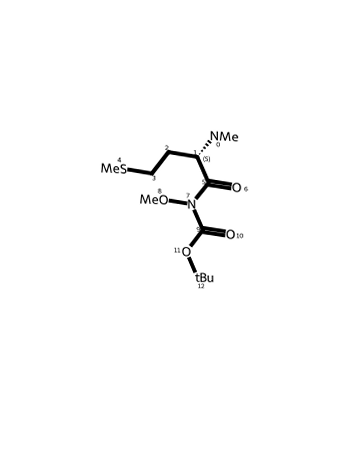 CN[C@@H](CCSC)C(=O)N(OC)C(=O)OC(C)(C)C